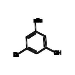 CCCCc1cc(O)cc(CC)c1